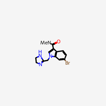 CNC(=O)c1cn(CC2=NCCN2)c2cc(Br)ccc12